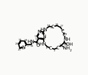 N[C@H]1CCCCNc2nc(ncc2C(=O)NCc2ccccn2)NCCCCCCNC1O